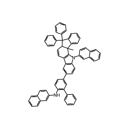 CC12c3ccccc3C(c3ccccc3)(c3ccccc3)C1C=Cc1c2n(-c2ccc3ccccc3c2)c2ccc(-c3ccc(Nc4ccc5ccccc5c4)c(-c4ccccc4)c3)cc12